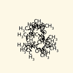 CC[C@@H](C)NCC(=O)N(CC(=O)N(CC(=O)N(CC(=O)N(CC(=O)N(CC(=O)N(CC(=O)N(CC(=O)N(CC(=O)N(CC(N)=O)[C@@H](C)CC)[C@H](C)CC)C[C@@H](C)O)C[C@@H](C)O)[C@@H](C)CC)[C@H](C)CC)C[C@@H](C)O)C[C@@H](C)O)[C@@H](C)CC